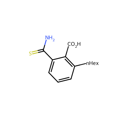 CCCCCCc1cccc(C(N)=S)c1C(=O)O